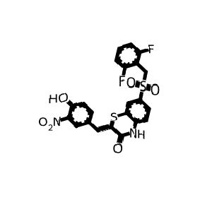 O=C1Nc2ccc(S(=O)(=O)Cc3c(F)cccc3F)cc2SC1=Cc1ccc(O)c([N+](=O)[O-])c1